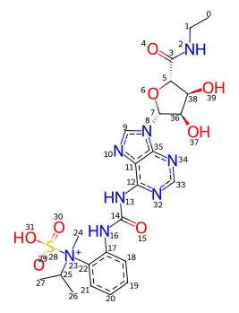 CCNC(=O)[C@H]1O[C@@H](n2cnc3c(NC(=O)Nc4ccccc4[N+](C)(C(C)C)S(=O)(=O)O)ncnc32)[C@H](O)[C@@H]1O